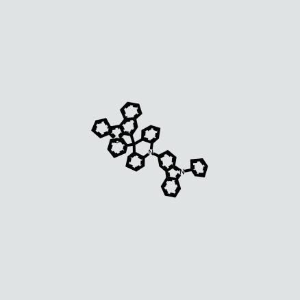 c1ccc(-n2c3ccccc3c3cc(N4c5ccccc5C(c5ccccc5)(c5cc6ccccc6c6c5oc5ccccc56)c5ccccc54)ccc32)cc1